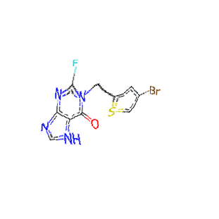 O=c1c2[nH]cnc2nc(F)n1Cc1cc(Br)cs1